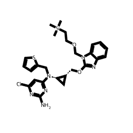 C[Si](C)(C)CCOCn1c(OC[C@@H]2C[C@@H]2N(Cc2cccs2)c2cc(Cl)nc(N)n2)nc2ccccc21